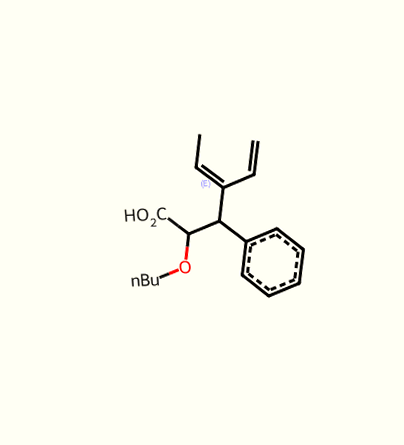 C=C/C(=C\C)C(c1ccccc1)C(OCCCC)C(=O)O